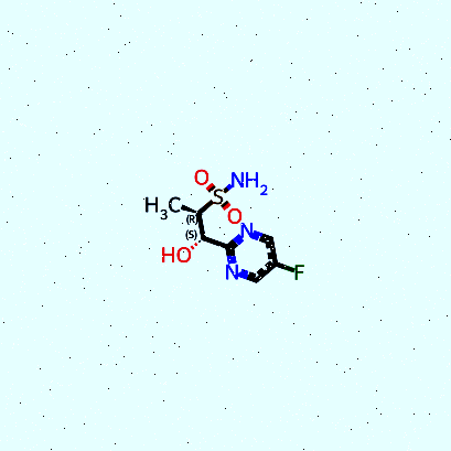 C[C@H]([C@@H](O)c1ncc(F)cn1)S(N)(=O)=O